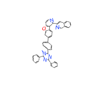 c1ccc(-c2nc(-c3ccccc3)nc(-c3ccc(-c4ccc5c(c4)oc4ccnc(-c6cc7ccccc7cn6)c45)cc3)n2)cc1